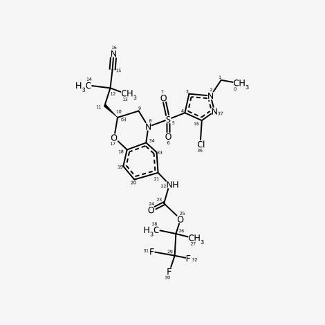 CCn1cc(S(=O)(=O)N2C[C@H](CC(C)(C)C#N)Oc3ccc(NC(=O)OC(C)(C)C(F)(F)F)cc32)c(Cl)n1